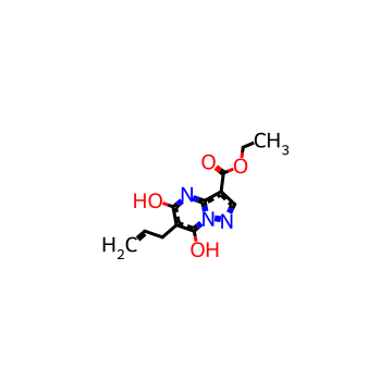 C=CCc1c(O)nc2c(C(=O)OCC)cnn2c1O